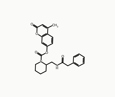 Cc1cc(=O)oc2cc(OC(=O)N3CCCCC3CNC(=O)Cc3ccccc3)ccc12